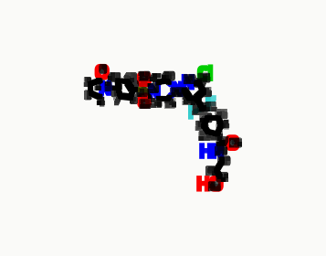 O=C1CCCN1c1ccc(S(=O)(=O)N2CCN(c3cc(C(F)(F)[C@H]4CC[C@@H](C(=O)NCCCO)CC4)cc(Cl)n3)CC2)cc1